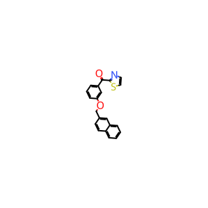 O=C(c1cccc(OCc2ccc3ccccc3c2)c1)c1nccs1